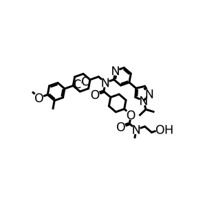 COc1ccc(C23CCC(CN(C(=O)C4CCC(OC(=O)N(C)CCO)CC4)c4cc(-c5cnn(C(C)C)c5)ccn4)(CC2)CC3)cc1C